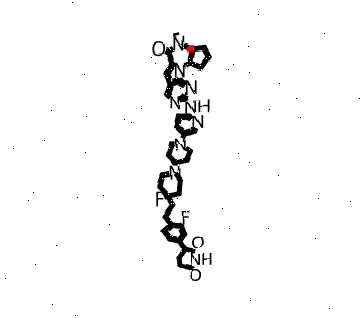 CN(C)C(=O)c1cc2cnc(Nc3ccc(N4CCC(N5CCC(F)(CCc6ccc(C7CCC(=O)NC7=O)cc6F)CC5)CC4)cn3)nc2n1C1CCCC1